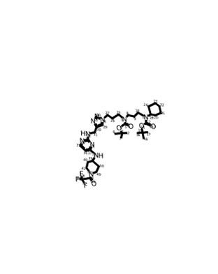 CC(C)(C)OC(=O)N(CCCN(C(=O)OC(C)(C)C)C1CCCCC1)CCCn1cc(CNc2nccc(NC3CCN(C(=O)C(F)(F)F)CC3)n2)nn1